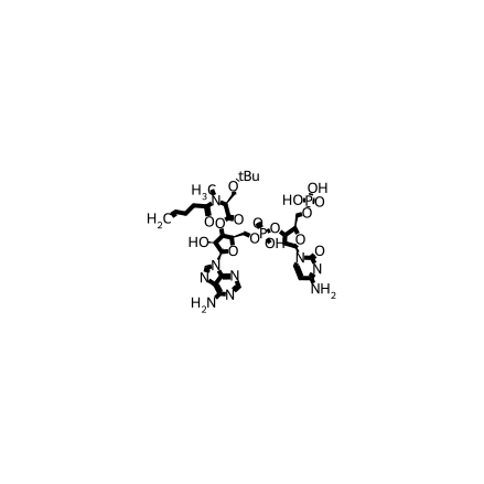 C=CCCC(=O)N(C)[C@@H](COC(C)(C)C)C(=O)OC1[C@@H](O)[C@H](n2cnc3c(N)ncnc32)O[C@@H]1COP(=O)(O)OC1C[C@H](n2ccc(N)nc2=O)O[C@@H]1COP(=O)(O)O